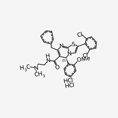 COc1ccccc1[C@H]1C(C(=O)NCCN(C)C)=C(Cc2ccccc2)N=C2SC(c3c(Cl)cccc3Cl)=CN21.Cl.Cl